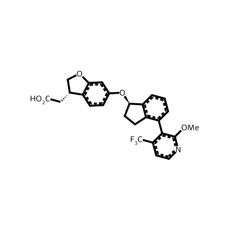 COc1nccc(C(F)(F)F)c1-c1cccc2c1CC[C@H]2Oc1ccc2c(c1)OC[C@H]2CC(=O)O